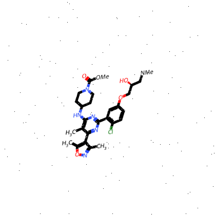 CNC[C@H](O)COc1ccc(Cl)c(-c2nc(NC3CCN(C(=O)OC)CC3)c(C)c(-c3c(C)noc3C)n2)c1